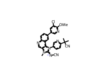 COc1ncc(-c2ccc3ncc4c(c3c2)n(-c2ccc(C(C)(C)C#N)nc2)/c(=N\C#N)n4C)cc1Cl